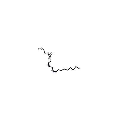 CCCCCCCC/C=C\C/C=C\C[C@H]1O[C@H]1CCO